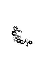 CC(C)n1nnnc1-c1cccc(NC(=O)c2cc3c(cc2F)CCN(C(=O)NC2CCCC2)C3)n1